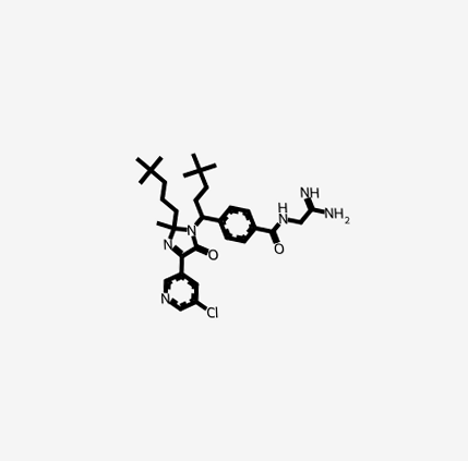 CC(C)(C)CCCC1(C)N=C(c2cncc(Cl)c2)C(=O)N1C(CCC(C)(C)C)c1ccc(C(=O)NCC(=N)N)cc1